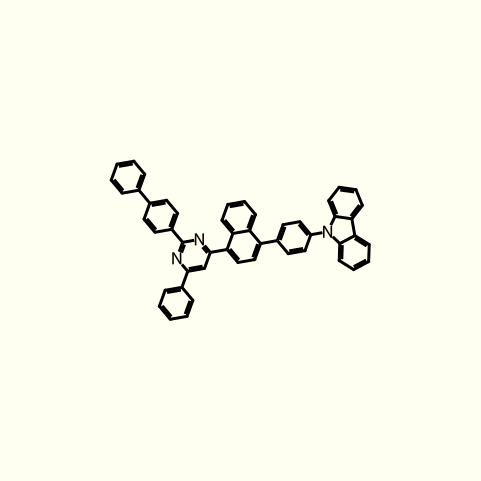 c1ccc(-c2ccc(-c3nc(-c4ccccc4)cc(-c4ccc(-c5ccc(-n6c7ccccc7c7ccccc76)cc5)c5ccccc45)n3)cc2)cc1